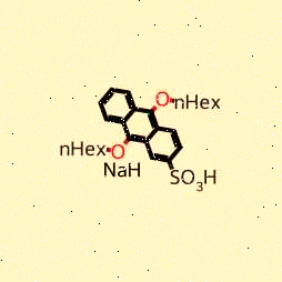 CCCCCCOc1c2ccccc2c(OCCCCCC)c2cc(S(=O)(=O)O)ccc12.[NaH]